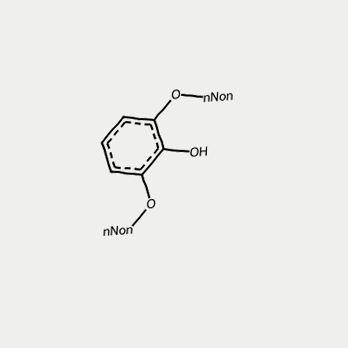 CCCCCCCCCOc1cccc(OCCCCCCCCC)c1O